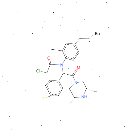 Cc1cc(CCC(C)(C)C)ccc1N(C(=O)CCl)C(C(=O)N1C[C@@H](C)N[C@@H](C)C1)c1ccc(F)cc1